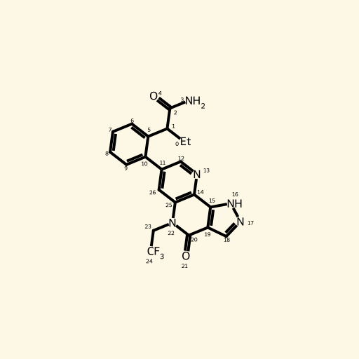 CCC(C(N)=O)c1ccccc1-c1cnc2c3[nH]ncc3c(=O)n(CC(F)(F)F)c2c1